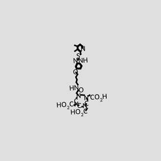 Cc1ccnc(CSc2nc3cc(OCCCCCNC(=O)CN4CCN(CC(=O)O)CCN(CC(=O)O)CCN(CC(=O)O)CC4)ccc3[nH]2)c1C